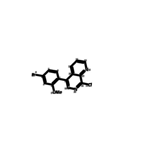 COc1cc(Br)ccc1-c1nnc(Cl)c2ncccc12